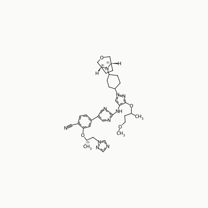 COCCC(C)Oc1nn(C2CCC(N3[C@@H]4CC[C@H]3COC4)CC2)cc1Nc1ncc(-c2ccc(C#N)c(O[C@@H](C)Cn3cncn3)c2)cn1